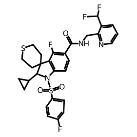 O=C(NCc1ncccc1C(F)F)c1ccc2c(c1F)C1(CCSCC1)C(C1CC1)N2S(=O)(=O)c1ccc(F)cc1